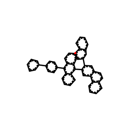 c1ccc(-c2ccc(-c3c4ccccc4c(-c4cc5c(ccc6ccccc65)cc4-c4ccc5ccccc5c4)c4ccccc34)cc2)cc1